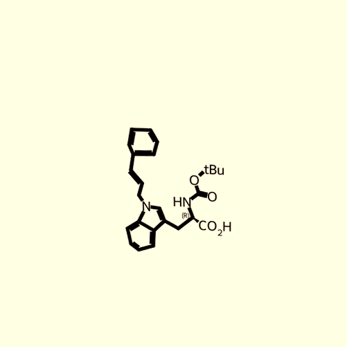 CC(C)(C)OC(=O)N[C@H](Cc1cn(CC=Cc2ccccc2)c2ccccc12)C(=O)O